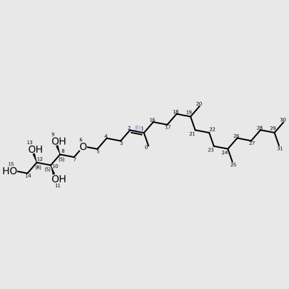 C/C(=C\CCCOC[C@H](O)[C@@H](O)[C@H](O)CO)CCCC(C)CCCC(C)CCCC(C)C